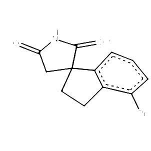 O=C1CC2(CCc3c(Br)cccc32)C(=O)N1